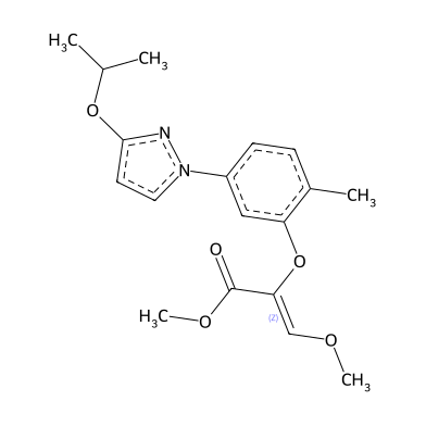 CO/C=C(\Oc1cc(-n2ccc(OC(C)C)n2)ccc1C)C(=O)OC